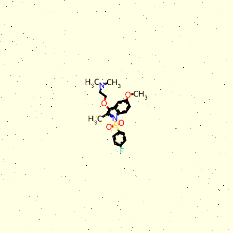 COc1ccc2c(c1)c(OCCN(C)C)c(C)n2S(=O)(=O)c1ccc(F)cc1